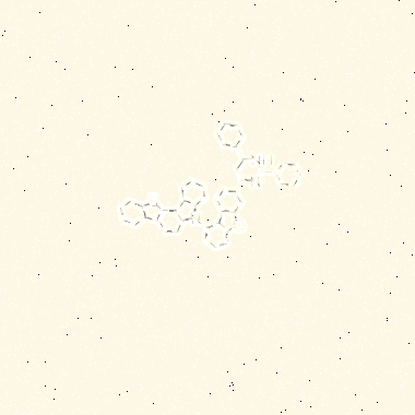 C1=C(c2ccccc2)NC(c2ccccc2)N=C1c1ccc2c(c1)oc1cccc(-n3c4ccccc4c4c5sc6ccccc6c5ccc43)c12